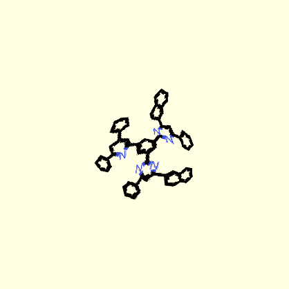 c1ccc(-c2cc(-c3ccccc3)nc(-c3cc(-c4nc(-c5ccccc5)cc(-c5ccc6ccccc6c5)n4)cc(-c4nc(-c5ccccc5)cc(-c5ccc6ccccc6c5)n4)c3)c2)cc1